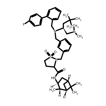 C[C@@H]1[C@@H](NC(=O)C2CCS(=O)(=O)N2Cc2cccc(CN(Cc3ccccc3-c3ccc(F)cc3)[C@H](CN(C)C)CC(C)(C)C)c2)C[C@H]2C[C@@H]1C2(C)C